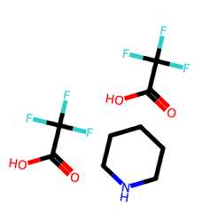 C1CCNCC1.O=C(O)C(F)(F)F.O=C(O)C(F)(F)F